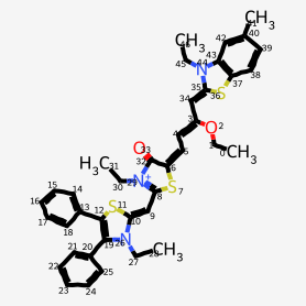 CCOC(=C\C=C1\SC(/C=C2\SC(c3ccccc3)=C(c3ccccc3)N2CC)=[N+](CC)C1=O)/C=C1\Sc2ccc(C)cc2N1CC